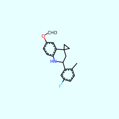 Cc1ccc(F)cc1C1CC2(CC2)c2cc(OC=O)ccc2N1